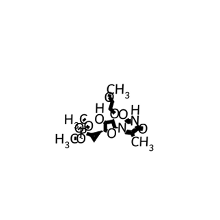 COCCO[C@H]1C(O)[C@@H](C2CC2P(=O)(OC)OC)O[C@H]1n1cc(C)c(=O)[nH]c1=O